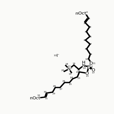 CCCCCCCC/C=C/CCCCCCCCOP(=O)(NCC[N+](C)(C)C)OCCCCCCCC/C=C/CCCCCCCC.[I-]